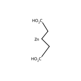 O=C(O)CCCC(=O)O.[Zn]